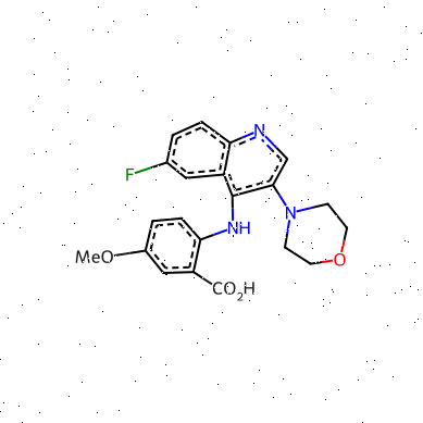 COc1ccc(Nc2c(N3CCOCC3)cnc3ccc(F)cc23)c(C(=O)O)c1